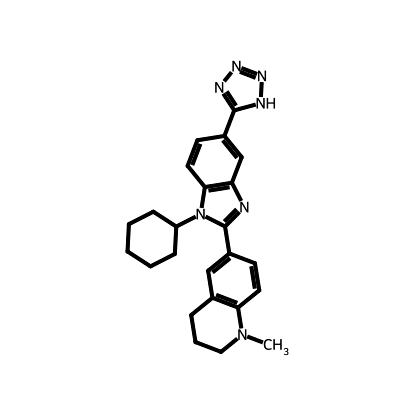 CN1CCCc2cc(-c3nc4cc(-c5nnn[nH]5)ccc4n3C3CCCCC3)ccc21